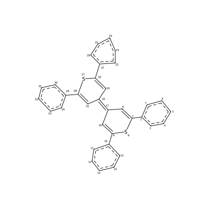 C1=C(c2ccccc2)SC(c2ccccc2)=CC1=C1C=C(c2ccccc2)SC(c2ccccc2)=C1